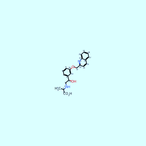 CC(NCC(O)c1cccc(OCc2ccc3ccccc3n2)c1)C(=O)O